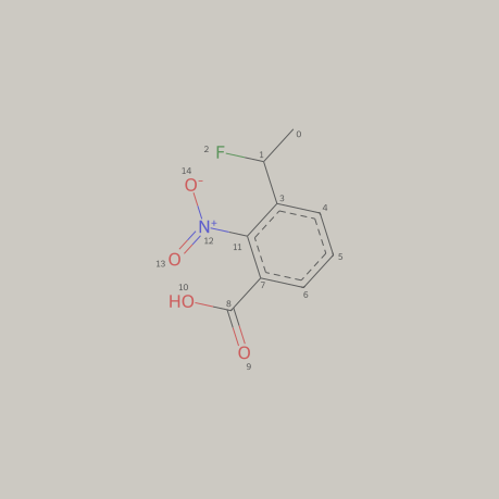 CC(F)c1cccc(C(=O)O)c1[N+](=O)[O-]